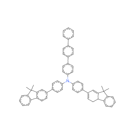 CC1(C)C2=CC(c3ccc(N(c4ccc(-c5ccc(-c6ccccc6)cc5)cc4)c4ccc(-c5ccc6c(c5)C(C)(C)c5ccccc5-6)cc4)cc3)=CCC2c2ccccc21